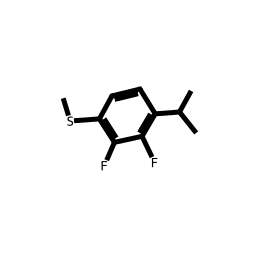 CSc1ccc(C(C)C)c(F)c1F